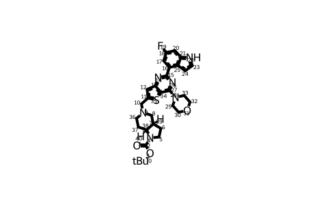 CC(C)(C)OC(=O)N1CC[C@H]2CN(Cc3cc4nc(-c5cc(F)cc6[nH]ccc56)nc(N5CCOCC5)c4s3)CC[C@H]21